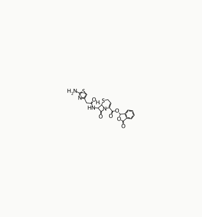 Nc1nc(CC(=O)NC2C(=O)N3C(C(=O)OC4OC(=O)c5ccccc54)=CCS[C@H]23)cs1